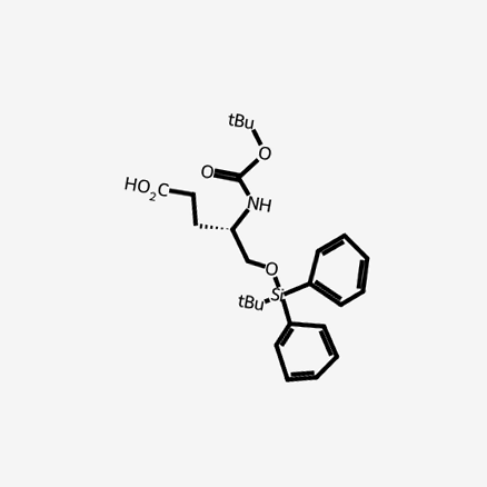 CC(C)(C)OC(=O)N[C@@H](CCC(=O)O)CO[Si](c1ccccc1)(c1ccccc1)C(C)(C)C